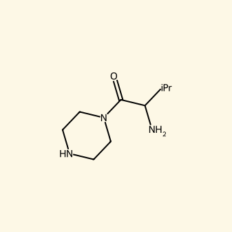 CC(C)C(N)C(=O)N1CCNCC1